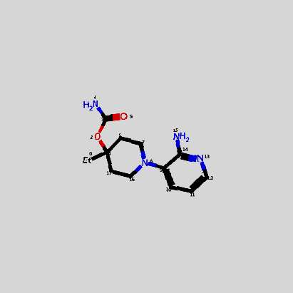 CCC1(OC(N)=O)CCN(c2cccnc2N)CC1